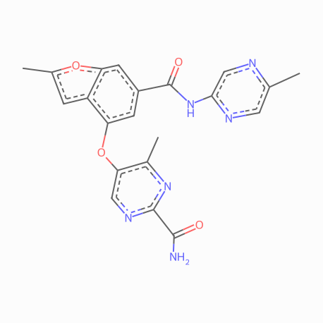 Cc1cnc(NC(=O)c2cc(Oc3cnc(C(N)=O)nc3C)c3cc(C)oc3c2)cn1